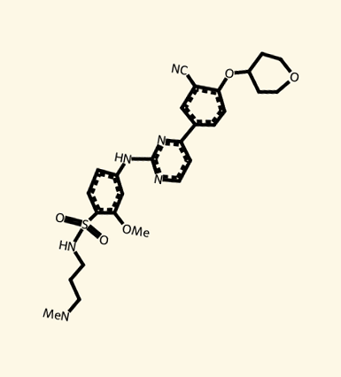 CNCCCNS(=O)(=O)c1ccc(Nc2nccc(-c3ccc(OC4CCOCC4)c(C#N)c3)n2)cc1OC